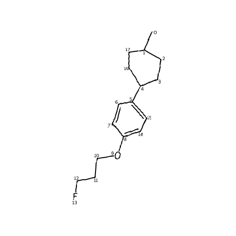 CC1CCC(c2ccc(OCCCF)cc2)CC1